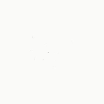 CCOC(C(=O)O)c1cccc(N)c1